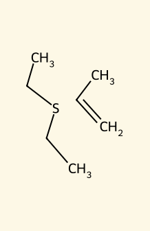 C=CC.CCSCC